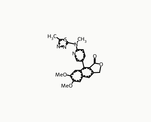 COc1cc2cc3c(c(-c4ccc(N(C)c5nnc(C)s5)nc4)c2cc1OC)C(=O)OC3